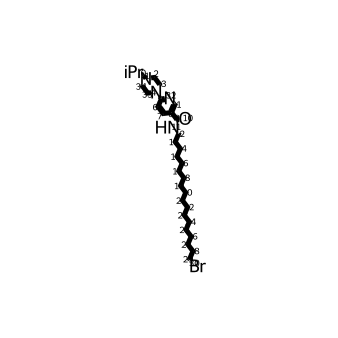 CC(C)N1CCN(c2ccc(C(=O)NCCCCCCCCCCCCCCCCCCBr)cn2)CC1